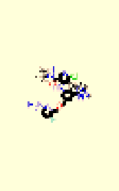 [2H]C([2H])([2H])NC(=O)c1cnc(Cl)cc1Nc1cc(COCc2nc(N)ccc2F)cc(-c2ncn(C)n2)c1OC